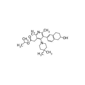 Cc1nc(C)c(-c2ccc3c(c2)CCC(O)C3)c(N2CCC(C)(C)CC2)c1CC(=O)OC(C)C